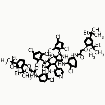 CCC(C)(C)c1ccc(OCC(=O)Nc2ccc(Cl)c(Nc3[nH]n(-c4c(Cl)cc(Cl)cc4Cl)c(=O)c3C(c3ccncc3)c3c(Nc4cc(NC(=O)COc5ccc(C(C)(C)CC)cc5C(C)(C)CC)ccc4Cl)[nH]n(-c4c(Cl)cc(Cl)cc4Cl)c3=O)c2)c(C(C)(C)CC)c1